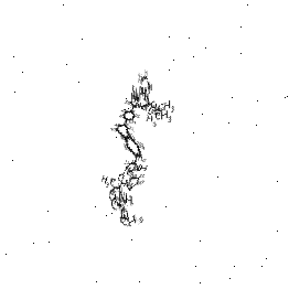 COC(=O)N[C@H](C(=O)N1CCC[C@H]1c1ncc(-c2ccc3cc(-c4ccc(-c5cnc([C@@H]6CCCN6C(=O)OC(C)(C)C)[nH]5)cc4)ccc3c2)[nH]1)C(C)C